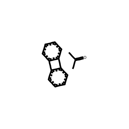 CC(C)=O.c1ccc2c(c1)-c1ccccc1-2